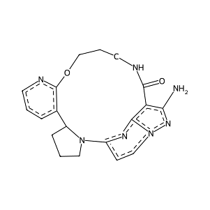 Nc1nn2ccc3nc2c1C(=O)NCCCOc1ncccc1C1CCCN31